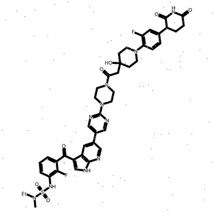 CCN(C)S(=O)(=O)Nc1cccc(C(=O)c2c[nH]c3ncc(-c4cnc(N5CCN(C(=O)CC6(O)CCN(c7ccc(C8CCC(=O)NC8=O)cc7F)CC6)CC5)nc4)cc23)c1F